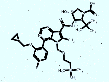 Cc1c(C(=O)N[C@@H]2C(C(C)(C)C)N(C(=O)O)C[C@H]2O)c2ncnc(-c3ccc(F)cc3OCC3CC3)c2n1COCC[Si](C)(C)C